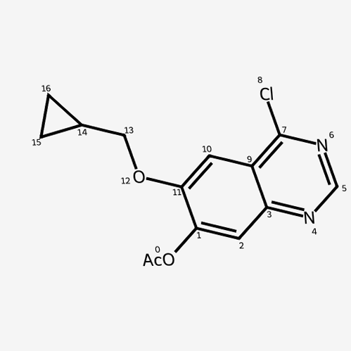 CC(=O)Oc1cc2ncnc(Cl)c2cc1OCC1CC1